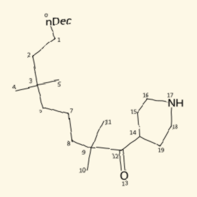 CCCCCCCCCCCCC(C)(C)CCCC(C)(C)C(=O)C1CCNCC1